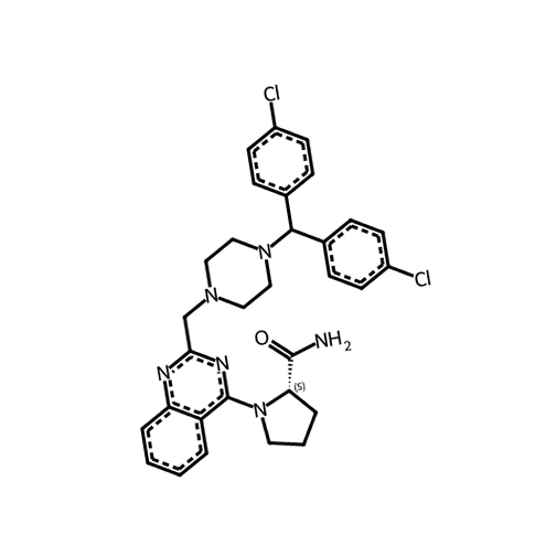 NC(=O)[C@@H]1CCCN1c1nc(CN2CCN(C(c3ccc(Cl)cc3)c3ccc(Cl)cc3)CC2)nc2ccccc12